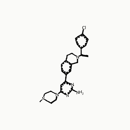 C=C(c1ccc(Cl)cc1)N1CCc2ccc(-c3cc(N4CCN(C)CC4)nc(N)n3)cc2C1